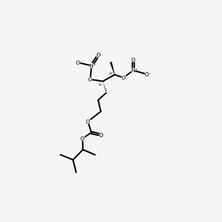 CC(C)C(C)OC(=O)OCCC[C@H](O[N+](=O)[O-])[C@@H](C)O[N+](=O)[O-]